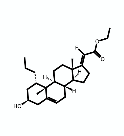 CCC[C@H]1C[C@H](O)CC2=CC[C@@H]3[C@H](CC[C@]4(C)C(=C(F)C(=O)OCC)CC[C@@H]34)[C@]21C